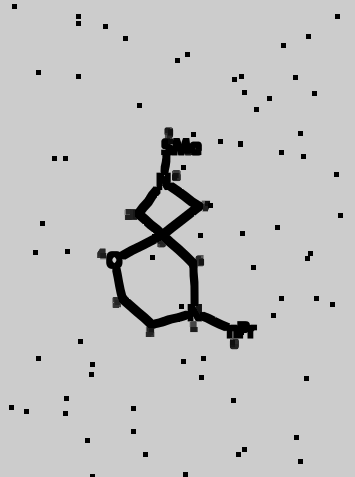 CCCN1CCOC2(C1)CN(SC)C2